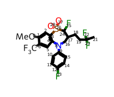 COc1cc2c(cc1C(F)(F)F)N(c1ccc(F)cc1)CC(CCC(C)(F)F)C(F)S2(=O)=O